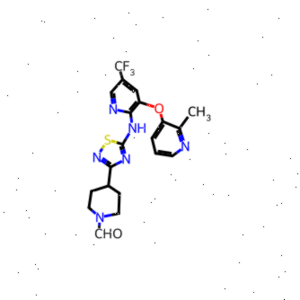 Cc1ncccc1Oc1cc(C(F)(F)F)cnc1Nc1nc(C2CCN(C=O)CC2)ns1